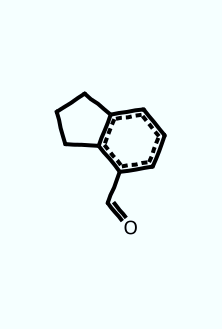 O=Cc1cccc2c1CCC2